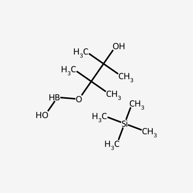 CC(C)(O)C(C)(C)OBO.C[Si](C)(C)C